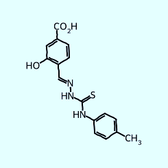 Cc1ccc(NC(=S)NN=Cc2ccc(C(=O)O)cc2O)cc1